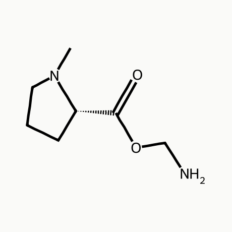 CN1CCC[C@H]1C(=O)OCN